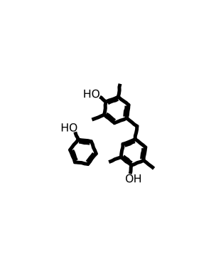 Cc1cc(Cc2cc(C)c(O)c(C)c2)cc(C)c1O.Oc1ccccc1